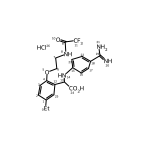 CCc1ccc(OCCNC(=O)C(F)(F)F)c(C(Nc2ccc(C(=N)N)cc2)C(=O)O)c1.Cl